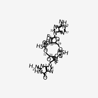 Nc1nc2c(ncn2C2OC3COP(=O)(S)O[C@@H]4C(COP(=O)(S)O[C@H]3[C@H]2F)OC(n2cnc3c(N)ncnc32)[C@@H]4F)c(=O)[nH]1